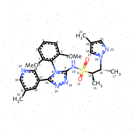 COc1cccc(OC)c1-n1c(NS(=O)(=O)[C@H](C)[C@@H](C)n2cc(C)cn2)nnc1-c1cncc(C)c1